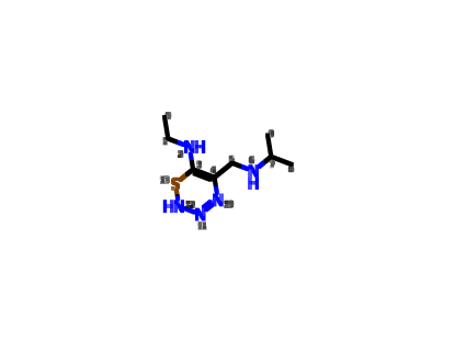 CCNC1=C(CNC(C)C)N=NNS1